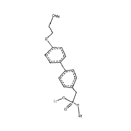 CCOP(=O)(Cc1ccc(-c2ccc(OCCOC)cc2)cc1)OCC